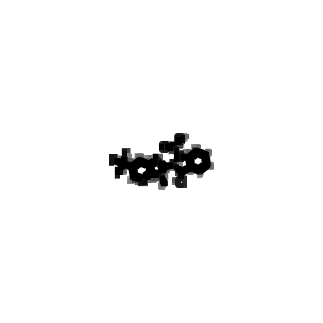 Cn1c(N2C(Cl)c3ccccc3N2[N+](=O)[O-])nc2cc(C(F)(F)F)cnc21